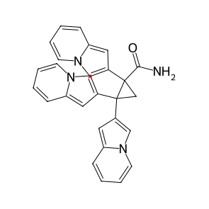 NC(=O)C1(c2cc3ccccn3c2)CC1(c1cc2ccccn2c1)c1cc2ccccn2c1